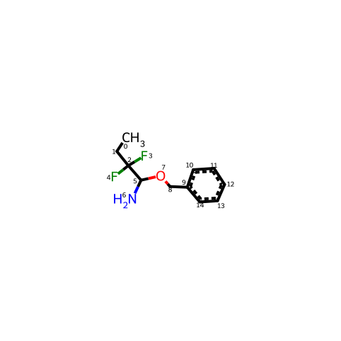 CCC(F)(F)C(N)OCc1ccccc1